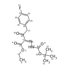 CCOC(=O)C(=NNC(=O)OC(C)(C)C)C(=O)Cc1ccc(F)cc1